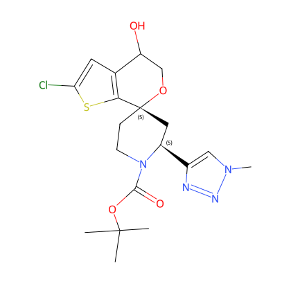 Cn1cc([C@@H]2C[C@]3(CCN2C(=O)OC(C)(C)C)OCC(O)c2cc(Cl)sc23)nn1